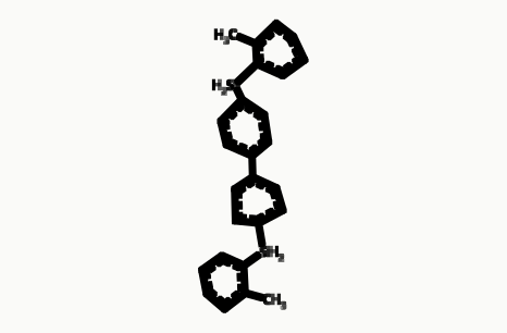 Cc1ccccc1[SiH2]c1ccc(-c2ccc([SiH2]c3ccccc3C)cc2)cc1